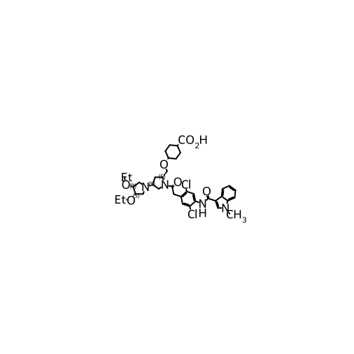 CCO[C@H]1CN([C@H]2C[C@@H](CO[C@H]3CC[C@H](C(=O)O)CC3)N(C(=O)Cc3cc(Cl)c(NC(=O)c4cn(C)c5ccccc45)cc3Cl)C2)C[C@H]1OCC